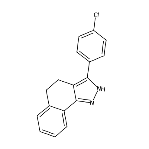 Clc1ccc(-c2[nH]nc3c2CCc2ccccc2-3)cc1